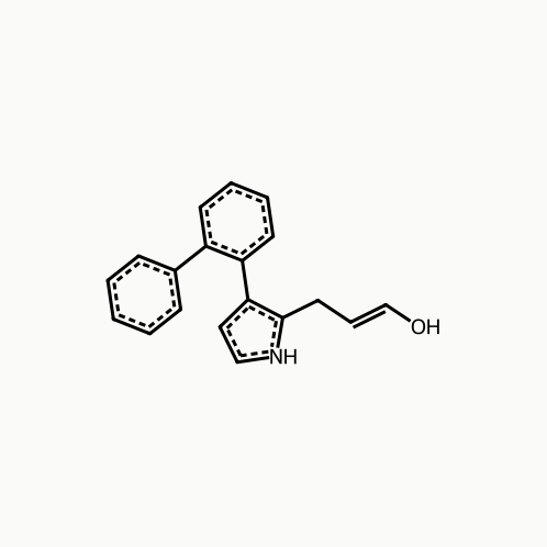 OC=CCc1[nH]ccc1-c1ccccc1-c1ccccc1